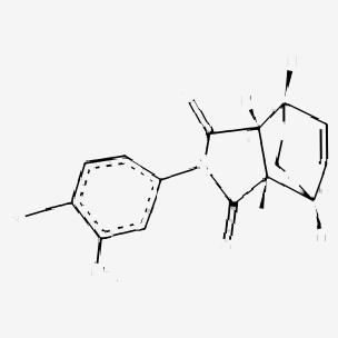 O=C1[C@@H]2[C@H](C(=O)N1c1ccc(Br)c(C(F)(F)F)c1)[C@@H]1C=C[C@H]2CCC1